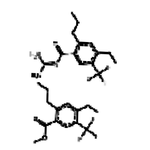 CCCc1cc(CC)c(C(F)(F)F)cc1C(=O)N=C(N)N.CCCc1cc(CC)c(C(F)(F)F)cc1C(=O)OC